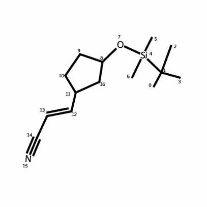 CC(C)(C)[Si](C)(C)OC1CCC(C=CC#N)C1